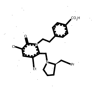 CCc1cc(Cl)c(=O)n(CCc2ccc(C(=O)O)cc2)c1CN1CCC[C@@H]1CC(C)C